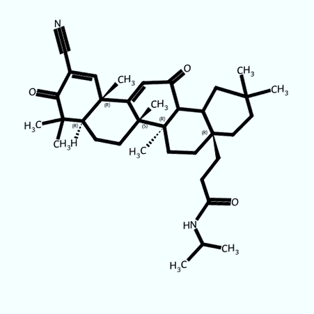 CC(C)NC(=O)CC[C@]12CCC(C)(C)CC1C1C(=O)C=C3[C@@]4(C)C=C(C#N)C(=O)C(C)(C)[C@@H]4CC[C@@]3(C)[C@]1(C)CC2